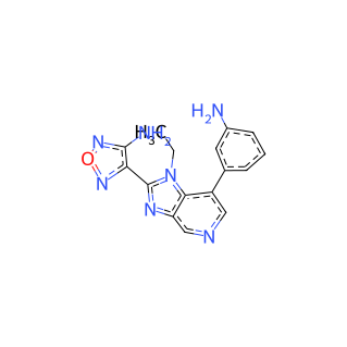 CCn1c(-c2nonc2N)nc2cncc(-c3cccc(N)c3)c21